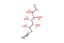 C#CCC(O)[C@@H](O)[C@H](O)[C@H](O)[C@@H](O)C=O